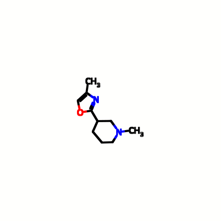 Cc1coc(C2CCCN(C)C2)n1